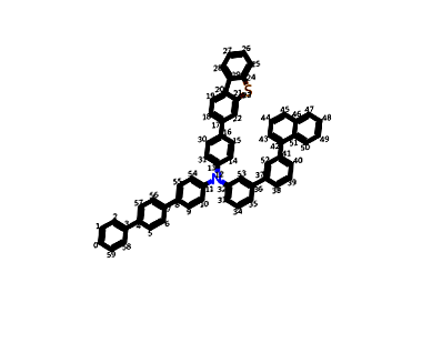 c1ccc(-c2ccc(-c3ccc(N(c4ccc(-c5ccc6c(c5)sc5ccccc56)cc4)c4cccc(-c5cccc(-c6cccc7ccccc67)c5)c4)cc3)cc2)cc1